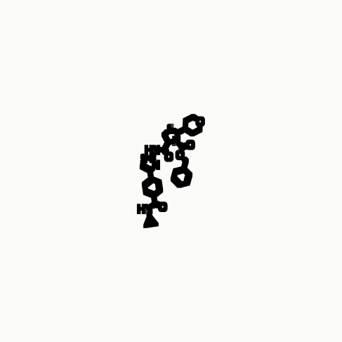 O=C(NC1CC1)c1ccc(-c2csc(NC(=O)C3CSC(C4CCOCC4)N3C(=O)OCc3ccccc3)n2)cc1